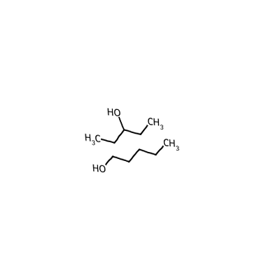 CCC(O)CC.CCCCCO